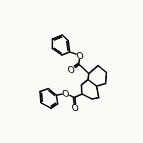 O=C(Oc1ccccc1)C1CCC2CCCC(C(=O)Oc3ccccc3)C2C1